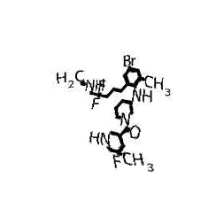 C=CNCC(F)(F)CCCc1cc(Br)cc(C)c1NC1CCCN(C(=O)C2CNCC(C)(F)C2)C1